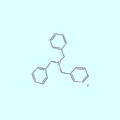 [I-].c1ccc(C[S+](Cc2ccccc2)Cc2ccccc2)cc1